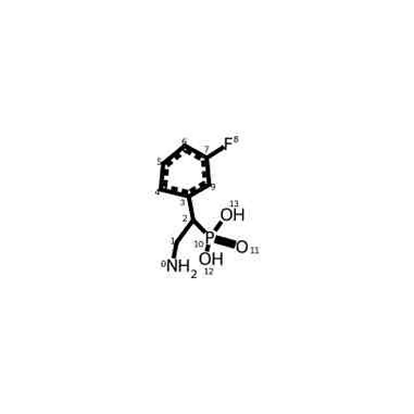 NCC(c1cccc(F)c1)P(=O)(O)O